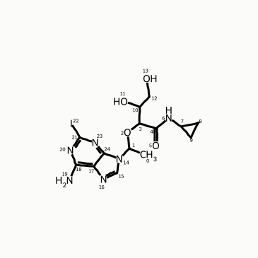 CC(OC(C(=O)NC1CC1)C(O)CO)n1cnc2c(N)nc(I)nc21